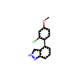 COc1ccc(-c2cccc3n[nH]cc23)c(Cl)c1